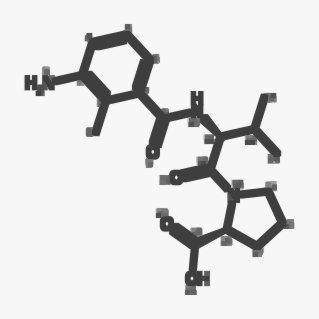 Cc1c(N)cccc1C(=O)N[C@H](C(=O)N1CCC[C@H]1C(=O)O)C(C)C